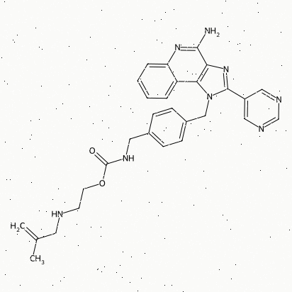 C=C(C)CNCCOC(=O)NCc1ccc(Cn2c(-c3cncnc3)nc3c(N)nc4ccccc4c32)cc1